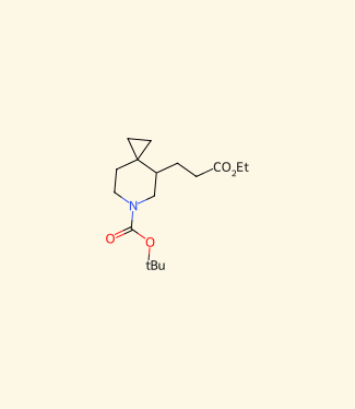 CCOC(=O)CCC1CN(C(=O)OC(C)(C)C)CCC12CC2